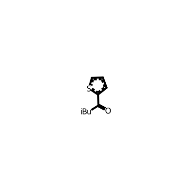 CCC(C)C(=O)c1cccs1